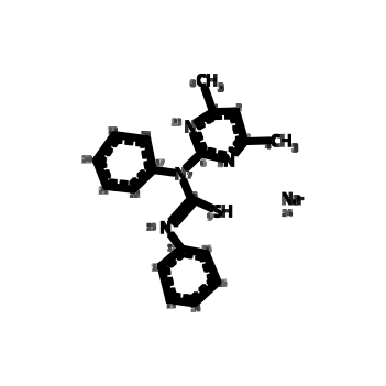 Cc1cc(C)nc(N(C(S)=Nc2ccccc2)c2ccccc2)n1.[Na]